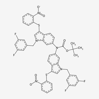 CC(C)(C)OC(=O)N(c1ccc2c(Sc3ccccc3[N+](=O)[O-])cn(Cc3cc(F)cc(F)c3)c2c1)c1ccc2c(Sc3ccccc3[N+](=O)[O-])cn(Cc3cc(F)cc(F)c3)c2c1